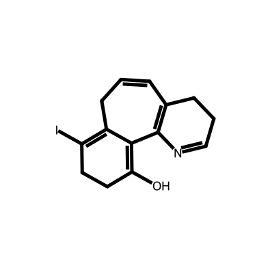 OC1=C2C(=C(I)CC1)CC=CC1=C2N=CCC1